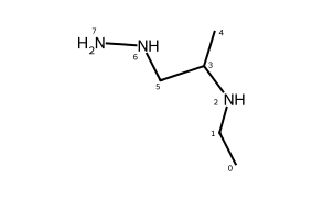 CCNC(C)CNN